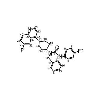 O=C(Nc1ccc(F)cc1)N(Cc1ccccc1)[C@H]1CC[C@H](c2ccnc3ccc(F)cc32)CC1